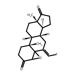 C[C@]12CC[C@@H]3[C@@H](CC(=CF)C45OC4C(=O)CC[C@]35C)[C@@H]1CCC2=O